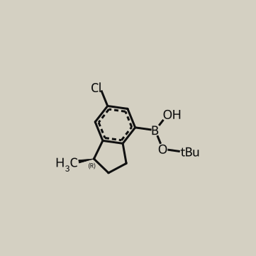 C[C@@H]1CCc2c(B(O)OC(C)(C)C)cc(Cl)cc21